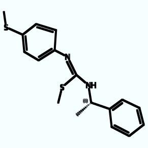 CSC(=Nc1ccc(SC)cc1)N[C@@H](C)c1ccccc1